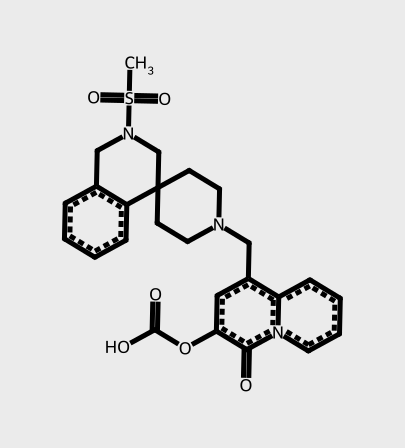 CS(=O)(=O)N1Cc2ccccc2C2(CCN(Cc3cc(OC(=O)O)c(=O)n4ccccc34)CC2)C1